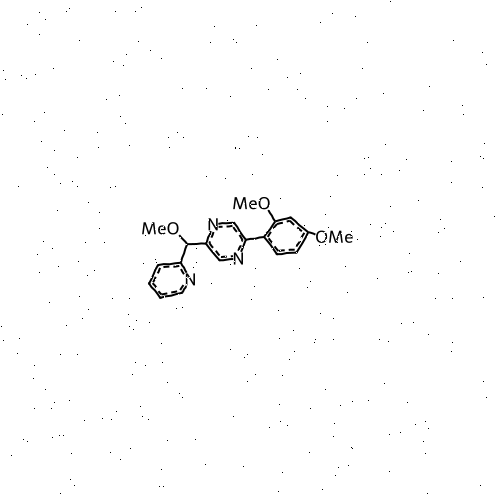 COc1ccc(-c2cnc(C(OC)c3ccccn3)cn2)c(OC)c1